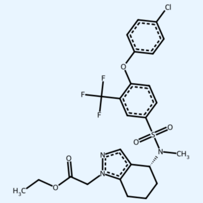 CCOC(=O)Cn1ncc2c1CCC[C@H]2N(C)S(=O)(=O)c1ccc(Oc2ccc(Cl)cc2)c(C(F)(F)F)c1